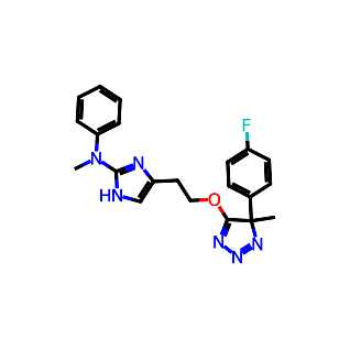 CN(c1ccccc1)c1nc(CCOC2=NN=NC2(C)c2ccc(F)cc2)c[nH]1